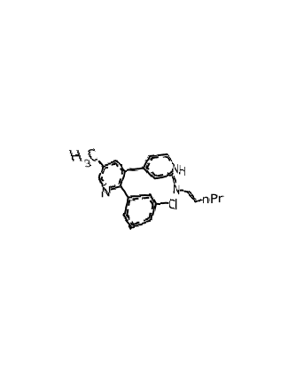 CCC/C=C/N=c1/cc(-c2cc(C)cnc2-c2cccc(Cl)c2)cc[nH]1